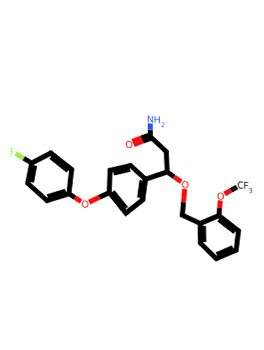 NC(=O)CC(OCc1ccccc1OC(F)(F)F)c1ccc(Oc2ccc(F)cc2)cc1